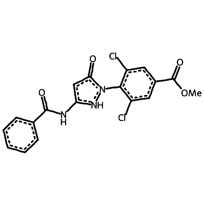 COC(=O)c1cc(Cl)c(-n2[nH]c(NC(=O)c3ccccc3)cc2=O)c(Cl)c1